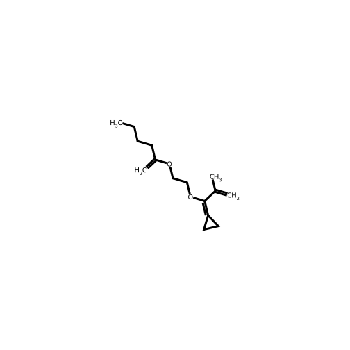 C=C(CCCC)OCCOC(C(=C)C)=C1CC1